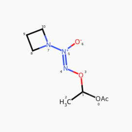 CC(=O)OC(C)ON=[N+]([O-])N1CCC1